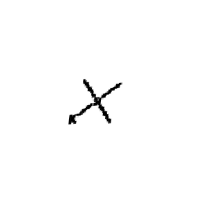 C[Si](C)(C)[K]